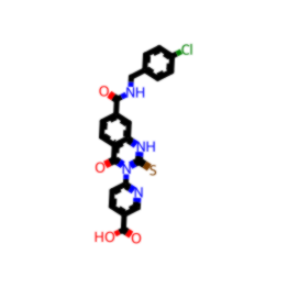 O=C(O)c1ccc(-n2c(=S)[nH]c3cc(C(=O)NCc4ccc(Cl)cc4)ccc3c2=O)nc1